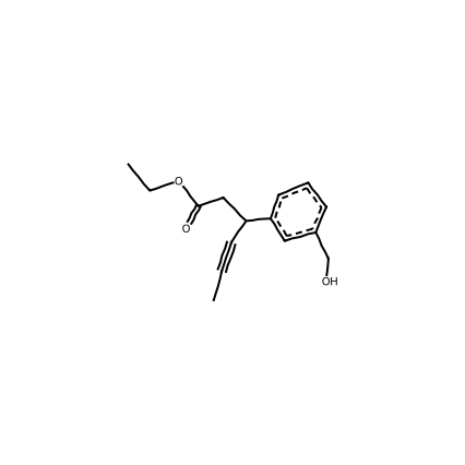 CC#CC(CC(=O)OCC)c1cccc(CO)c1